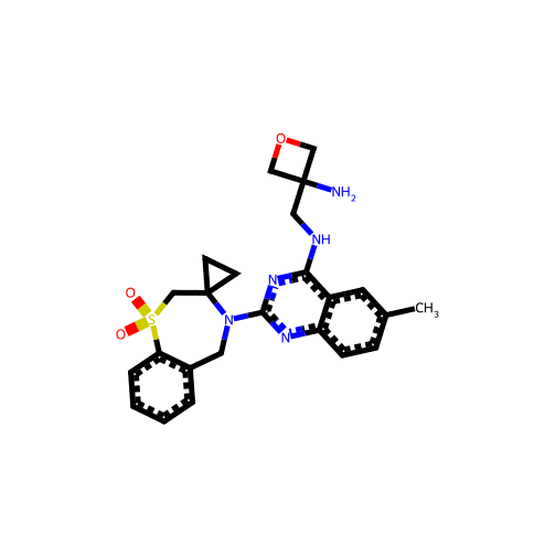 Cc1ccc2nc(N3Cc4ccccc4S(=O)(=O)CC34CC4)nc(NCC3(N)COC3)c2c1